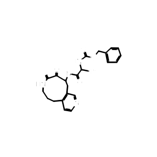 CC(C)C(NC(=O)OCc1ccccc1)C(=O)NC1Cc2cnccc2CCCNC(=O)C1=O